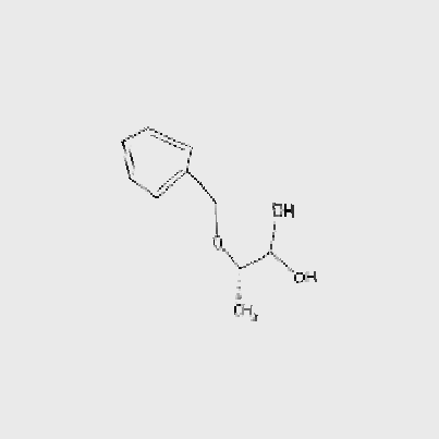 C[C@H](OCc1ccccc1)C(O)O